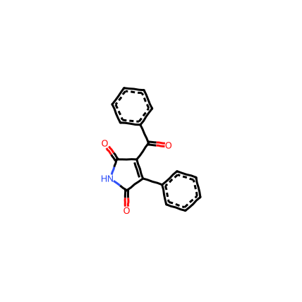 O=C1NC(=O)C(c2ccccc2)=C1C(=O)c1ccccc1